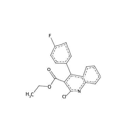 CCOC(=O)c1c(Cl)nc2ccccc2c1-c1ccc(F)cc1